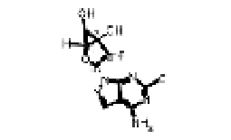 Nc1nc(Cl)nc2c1cnn2[C@@H]1O[C@@H]2C(O)[C@]2(O)[C@@H]1F